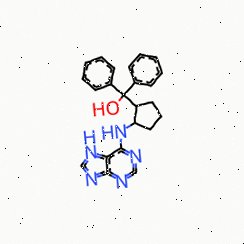 OC(c1ccccc1)(c1ccccc1)C1CCCC1Nc1ncnc2nc[nH]c12